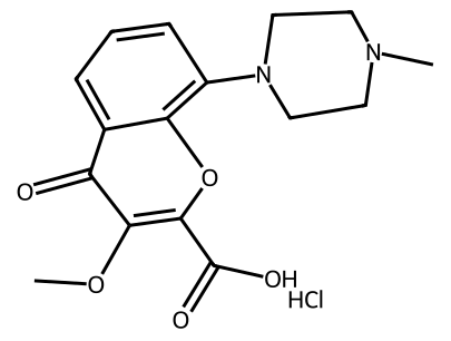 COc1c(C(=O)O)oc2c(N3CCN(C)CC3)cccc2c1=O.Cl